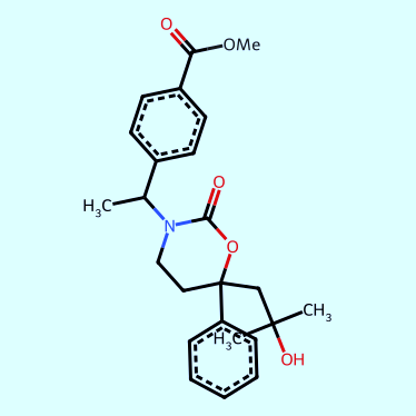 COC(=O)c1ccc(C(C)N2CCC(CC(C)(C)O)(c3ccccc3)OC2=O)cc1